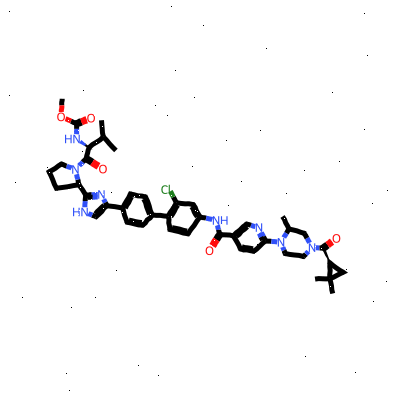 COC(=O)N[C@H](C(=O)N1CCCC1c1nc(-c2ccc(-c3ccc(NC(=O)c4ccc(N5CCN(C(=O)[C@H]6CC6(C)C)CC5C)nc4)cc3Cl)cc2)c[nH]1)C(C)C